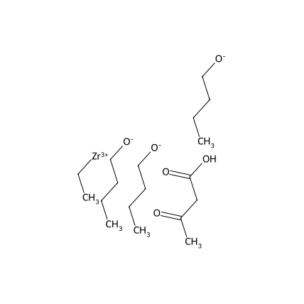 CC(=O)CC(=O)O.CCCC[O-].CCCC[O-].CCCC[O-].C[CH2][Zr+3]